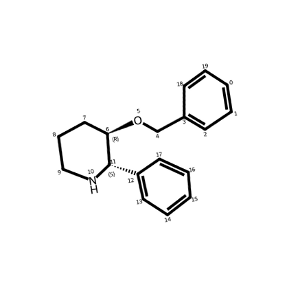 c1ccc(CO[C@@H]2CCCN[C@H]2c2ccccc2)cc1